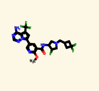 COc1ncc(-c2cc(C(F)(F)F)c3c(N)ncnn23)cc1C(=O)NC1CN(CC2CC(F)(F)C2)CC1F